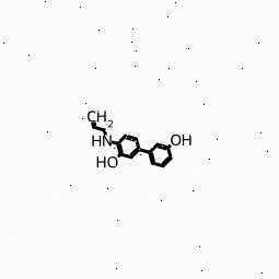 C=CCNc1ccc(-c2cccc(O)c2)cc1O